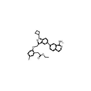 CCOC(=O)Cc1cc(F)ccc1OCc1nn(C2CCC2)c2ccc(-c3ccc4ccnc(N)c4c3)cc12